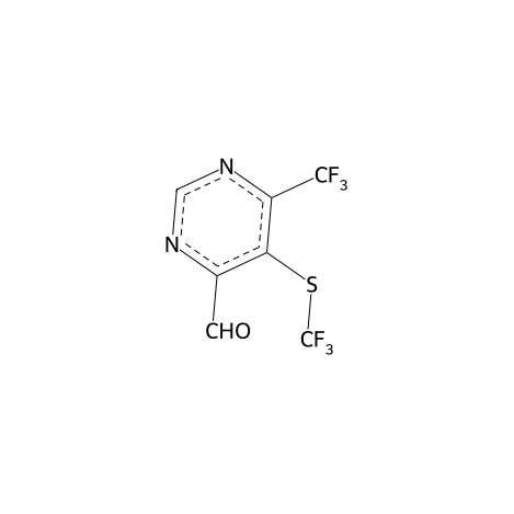 O=Cc1ncnc(C(F)(F)F)c1SC(F)(F)F